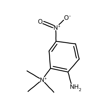 C[N+](C)(C)c1cc([N+](=O)[O-])ccc1N